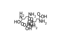 CC(N)C(=O)O.NC(=O)CCC(N)C(=O)O.NC(CCC(=O)O)C(=O)O